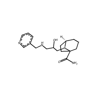 NC(=O)C12C[CH]C[C@H](CC1)N2CC(O)CNCc1cccnc1